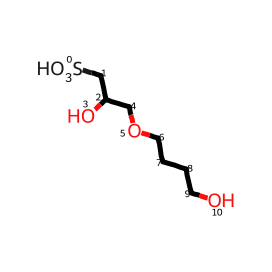 O=S(=O)(O)CC(O)COCCCCO